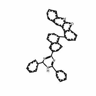 c1ccc(C2=NC(c3ccc4c(-c5cccc6oc7nc8ccccc8cc7c56)cccc4c3)=NC(c3ccccc3)N2)cc1